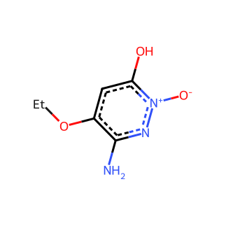 CCOc1cc(O)[n+]([O-])nc1N